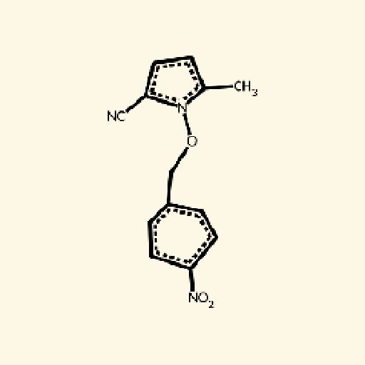 Cc1ccc(C#N)n1OCc1ccc([N+](=O)[O-])cc1